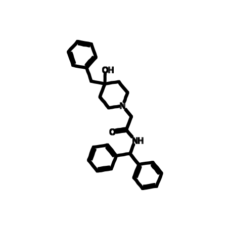 O=C(CN1CCC(O)(Cc2ccccc2)CC1)NC(c1ccccc1)c1ccccc1